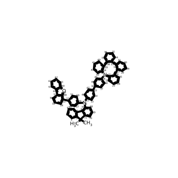 CC1(C)c2ccccc2-c2c(N(c3ccc(-c4ccc(-n5c6ccccc6c6ccccc6c6ccccc6c6ccccc65)cc4)cc3)c3ccc(-c4cccc5c4oc4ccccc45)cc3)cccc21